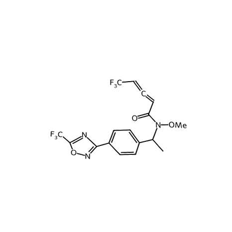 CON(C(=O)C=C=CC(F)(F)F)C(C)c1ccc(-c2noc(C(F)(F)F)n2)cc1